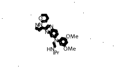 COc1cc(OC)cc(N(CCNC(C)C)c2ccc3ncc(-c4ccnn4C4CCCCO4)nc3c2)c1